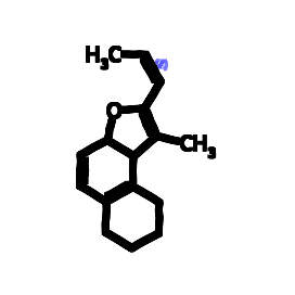 C/C=C\C1=C(C)C2C3=C(C=CC2O1)CCCC3